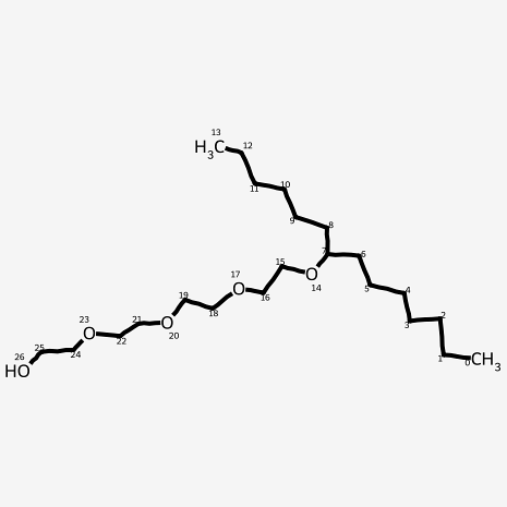 CCCCCCCC(CCCCCC)OCCOCCOCCOCCO